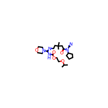 CC(C)OCCOC(=O)NC(=NCCC(C)(C)CC(=O)N(C#N)C1CCCC1)N1CCOCC1